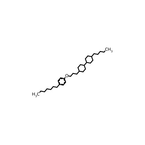 CCCCCCCc1ccc(OCCCC2CCC(C3CCC(CCCCC)CC3)CC2)cc1